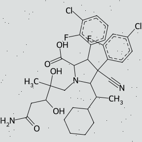 CC(C1CCCCC1)C1N(CC(C)(O)C(O)CC(N)=O)C(C(=O)O)C(c2cccc(Cl)c2F)C1(C#N)c1ccc(Cl)cc1F